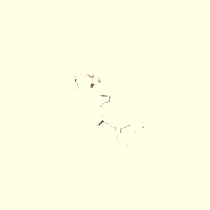 Cc1c(-c2ccc(C(=O)N3CCCC(S)C3)s2)noc1C(F)(F)F